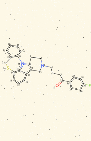 O=C(CCCN1CCc2c(c3cccc4c3n2-c2ccccc2CS4)C1)c1ccc(F)cc1